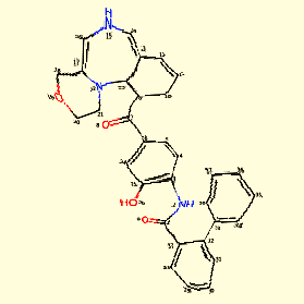 O=C(Nc1ccc(C(=O)C2CC=CC3=CNC=C4COCCN4C32)cc1O)c1ccccc1-c1ccccc1